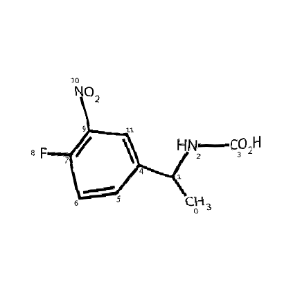 CC(NC(=O)O)c1ccc(F)c([N+](=O)[O-])c1